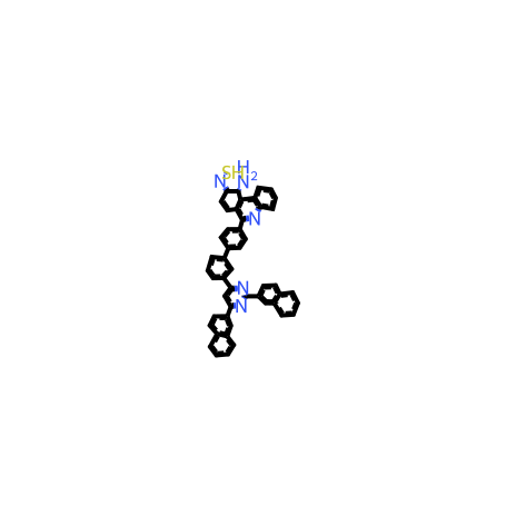 NC1/C(=N\S)C=Cc2c(-c3ccc(-c4cccc(-c5cc(-c6ccc7ccccc7c6)nc(-c6ccc7ccccc7c6)n5)c4)cc3)nc3ccccc3c21